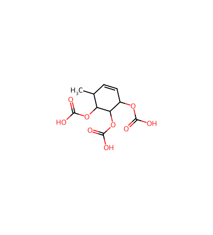 CC1C=CC(OC(=O)O)C(OC(=O)O)C1OC(=O)O